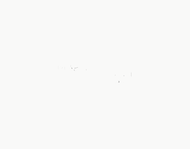 CC(C)(C)ON=CCOCCCCCOS(C)(=O)=O